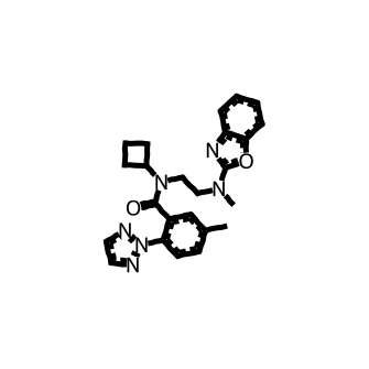 Cc1ccc(-n2nccn2)c(C(=O)N(CCN(C)c2nc3ccccc3o2)C2CCC2)c1